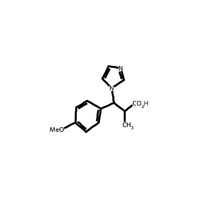 COc1ccc(C(C(C)C(=O)O)n2ccnc2)cc1